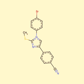 CSc1nc(-c2ccc(C#N)cc2)cn1-c1ccc(Br)cc1